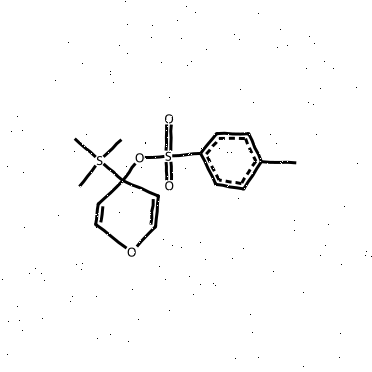 Cc1ccc(S(=O)(=O)OC2(S(C)(C)C)C=COC=C2)cc1